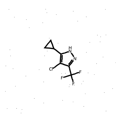 FC(F)(F)c1n[nH]c(C2CC2)c1Cl